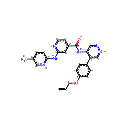 C=CCOc1ccc(-c2cnncc2NC(=O)c2ccnc(Nc3ccc(C(F)(F)F)cn3)c2)cc1